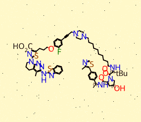 Cc1ncsc1-c1ccc([C@H](C)NC(=O)[C@@H]2C[C@@H](O)CN2C(=O)[C@@H](NC(=O)CCCCCCCCCN2CCN(CC#Cc3ccc(OCCCc4sc(N5CCCc6c5nnc(Nc5nc7ccccc7s5)c6C)nc4C(=O)O)c(F)c3)CC2)C(C)(C)C)cc1